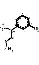 CSC[C@@H](C)c1cccc(O)c1